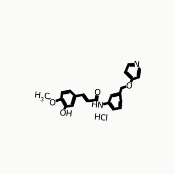 COc1ccc(C=CC(=O)Nc2cccc(COc3ccncc3)c2)cc1O.Cl